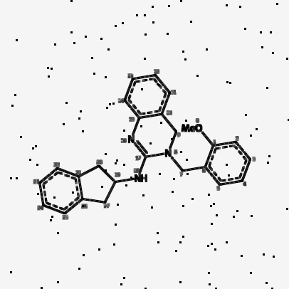 COc1ccccc1CN1Cc2ccccc2N=C1NC1Cc2ccccc2C1